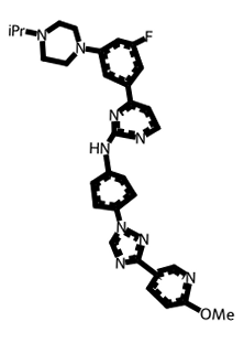 COc1ccc(-c2ncn(-c3ccc(Nc4nccc(-c5cc(F)cc(N6CCN(C(C)C)CC6)c5)n4)cc3)n2)cn1